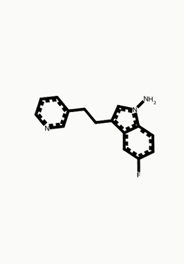 Nn1cc(CCc2cccnc2)c2cc(F)ccc21